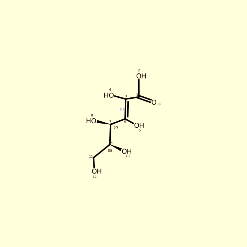 O=C(O)/C(O)=C(\O)[C@H](O)[C@@H](O)CO